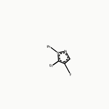 CCc1c(F)[c]nn1C(C)C